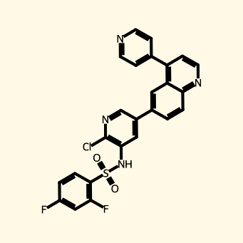 O=S(=O)(Nc1cc(-c2ccc3nccc(-c4ccncc4)c3c2)cnc1Cl)c1ccc(F)cc1F